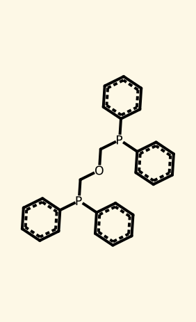 c1ccc(P(COCP(c2ccccc2)c2ccccc2)c2ccccc2)cc1